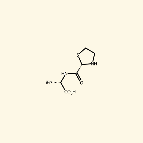 CC(C)[C@H](NC(=O)[C@H]1NCCS1)C(=O)O